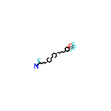 N#CC(F)=CC=C[C@H]1CC[C@H]([C@H]2CC[C@H](CCCCc3ccc(OC(F)(F)F)cc3)CC2)CC1